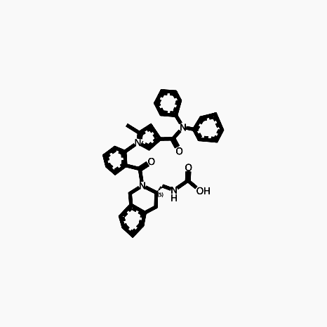 Cc1cc(C(=O)N(c2ccccc2)c2ccccc2)cn1-c1ccccc1C(=O)N1Cc2ccccc2C[C@H]1CNC(=O)O